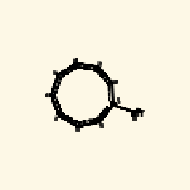 CCCp1cccccccc1